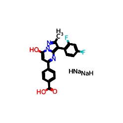 Cc1nn2c(O)cc(-c3ccc(C(=O)O)cc3)nc2c1-c1ccc(F)cc1F.[NaH].[NaH]